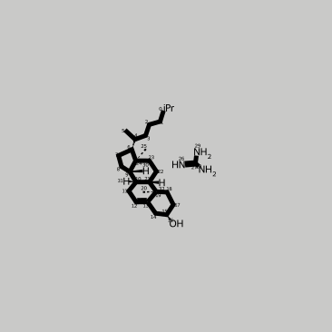 CC(C)CCCC(C)[C@H]1CC[C@H]2[C@@H]3CC=C4C[C@@H](O)CC[C@]4(C)[C@H]3CC[C@]12C.N=C(N)N